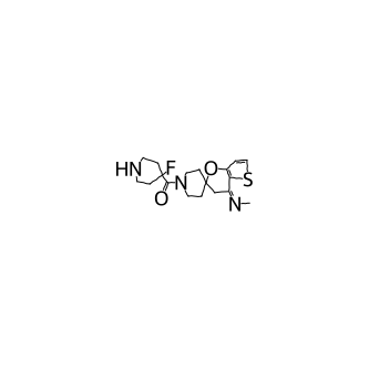 C/N=C1/CC2(CCN(C(=O)C3(F)CCNCC3)CC2)Oc2ccsc21